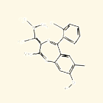 CSC1=Nc2cc(OC(C)C)c(F)cc2C(c2ccccc2Cl)=N/C1=C(/C)N(C)C